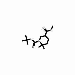 COC(=O)C1CCC(C)(C)N(C(=O)OC(C)(C)C)C1